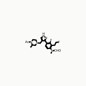 CC(=O)N1CCN(Cc2c[nH]nc2-c2ccc(N(C)C=O)c(CCF)c2F)CC1C